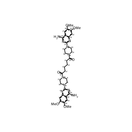 COc1cc2nc(N3CCN(C(=O)CCCCC(=O)N4CCN(c5nc(N)c6cc(OC)c(OC)cc6n5)CC4)CC3)nc(N)c2cc1OC